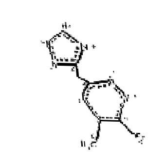 Cc1cc(-c2nn[nH]n2)nnc1C(C)C